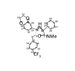 CNC(=O)[C@@H](N[C@H](CCc1ccc(C(F)(F)F)cc1)c1ccc2c(c1)OCCO2)c1ccccc1